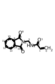 C=CC(=O)NCN1C(=O)c2ccccc2C1=O